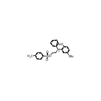 COc1ccc(C(C)(C)C)cc1[C@@H](CCOS(=O)(=O)c1ccc(C)cc1)c1ccccc1